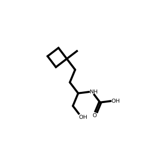 CC1(CCC(CO)NC(=O)O)CCC1